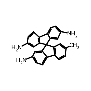 Cc1ccc2c(c1)C1(c3cc(N)ccc3-2)c2cc(N)ccc2-c2ccc(N)cc21